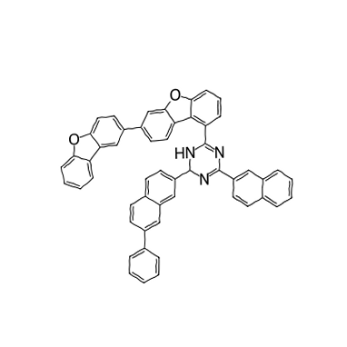 c1ccc(-c2ccc3ccc(C4N=C(c5ccc6ccccc6c5)N=C(c5cccc6oc7cc(-c8ccc9oc%10ccccc%10c9c8)ccc7c56)N4)cc3c2)cc1